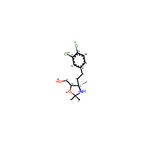 CC1(C)N[C@](C)(CCc2ccc(Cl)c(Cl)c2)C(CO)O1